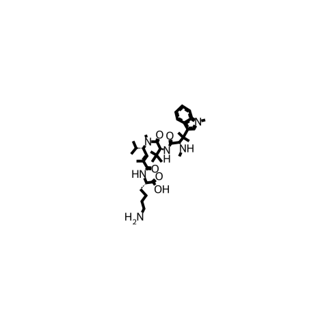 CN[C@H](C(=O)N[C@H](C(=O)N(C)[C@H](/C=C(\C)C(=O)N[C@@H](CCCCN)C(=O)O)C(C)C)C(C)(C)C)C(C)(C)c1cn(C)c2ccccc12